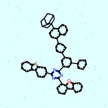 c1ccc(-c2cc(-c3ccc(-c4ccc(C56CC7CC(CC(C7)C5)C6)c5ccccc45)cc3)cc(-c3nc(-c4ccc5c(c4)sc4ccccc45)nc(-c4cccc5c4oc4ccccc45)n3)c2)cc1